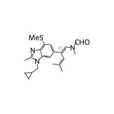 CSc1cc(/C(C=C(C)C)=C/N(C)C=O)cc2c1nc(C)n2CC1CC1